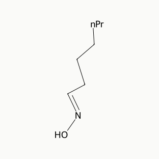 CCCCCCC=NO